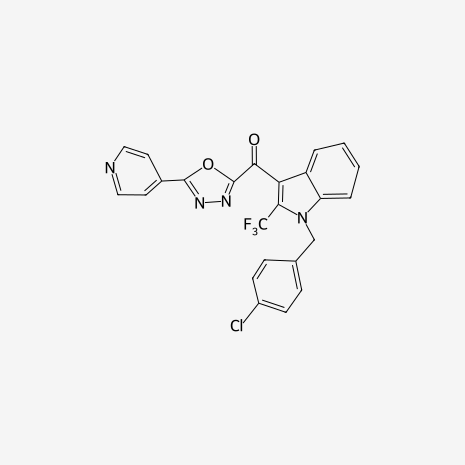 O=C(c1nnc(-c2ccncc2)o1)c1c(C(F)(F)F)n(Cc2ccc(Cl)cc2)c2ccccc12